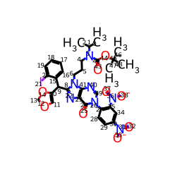 CC(C)N(CCCn1c(C(C2=COCO2)c2ccccc2I)nc2c(=O)n(-c3ccc([N+](=O)[O-])cc3[N+](=O)[O-])cnc21)C(=O)OC(C)(C)C